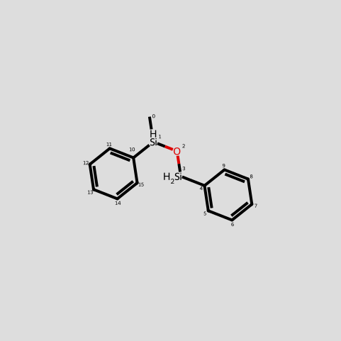 C[SiH](O[SiH2]c1ccccc1)c1ccccc1